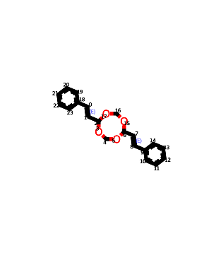 C(=C\C1OCOC(/C=C/c2ccccc2)OCO1)/c1ccccc1